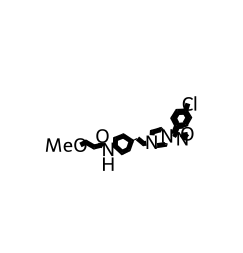 COCCC(=O)N[C@H]1CC[C@H](CCN2CCN(c3noc4cc(Cl)ccc34)CC2)CC1